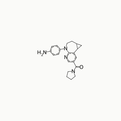 Nc1ccc(N2CCC3CC3c3cc(C(=O)N4CCCC4)cnc32)cc1